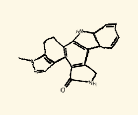 Cn1ncc2c1CCc1c3c(c4c(c1-2)C(=O)NC4)C1C=CC=CC1N3